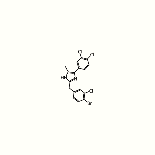 Cc1[nH]c(Cc2ccc(Br)c(Cl)c2)nc1-c1ccc(Cl)c(Cl)c1